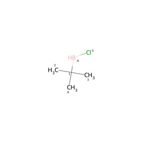 CC(C)(C)BCl